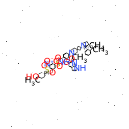 COc1nc2[nH]ccc2cc1Oc1cc(N2CCC3(CC2)CC(N2CCC[C@@H]2c2ccccc2C(C)C)C3)ccc1C(=O)NS(=O)(=O)c1cc2c(c([N+](=O)[O-])c1)S[C@@H]([C@H]1CC[C@](C)(O)CC1)CO2